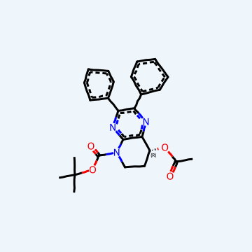 CC(=O)O[C@@H]1CCN(C(=O)OC(C)(C)C)c2nc(-c3ccccc3)c(-c3ccccc3)nc21